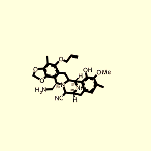 C=CCOc1c(C)c2c(c3c1CC1[C@H]4N[C@H](Cc5cc(C)c(OC)c(O)c54)C(C#N)N1[C@H]3CN)OCO2